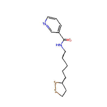 O=C(NCCCCCC1CCSS1)c1cccnc1